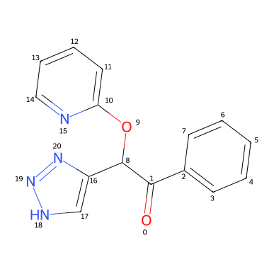 O=C(c1ccccc1)C(Oc1ccccn1)c1c[nH]nn1